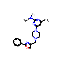 Cc1cc(N2CCN(Cc3coc(-c4ccccc4)n3)CC2)nc(N(C)C)n1